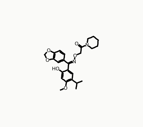 COc1cc(O)c(/C(=N/OCC(=O)N2CCCCC2)c2ccc3c(c2)OCO3)cc1C(C)C